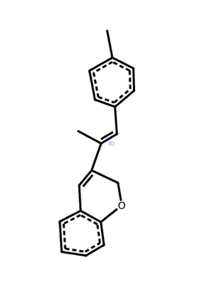 C/C(=C\c1ccc(C)cc1)C1=Cc2ccccc2OC1